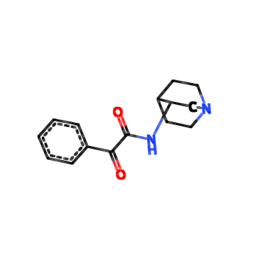 O=C(NC1CN2CCC1CC2)C(=O)c1ccccc1